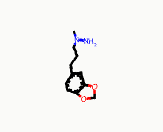 CN(N)CCCc1ccc2c(c1)OCO2